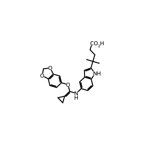 CC(C)(CCC(=O)O)c1cc2cc(NC(Oc3ccc4c(c3)OCO4)=C3CC3)ccc2[nH]1